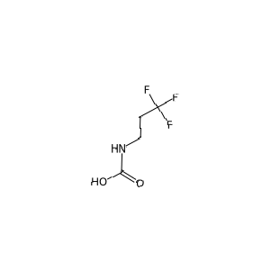 O=C(O)NCCC(F)(F)F